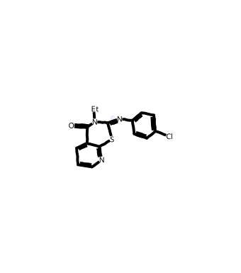 CCn1c(=O)c2cccnc2s/c1=N\c1ccc(Cl)cc1